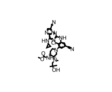 COC(=O)N[C@H]1CCN(c2cc(C#N)cc(Nc3nc(NC4CC4)c4ncc(C#N)n4n3)c2Cl)C[C@@H]1N(C)CC(C)(C)O